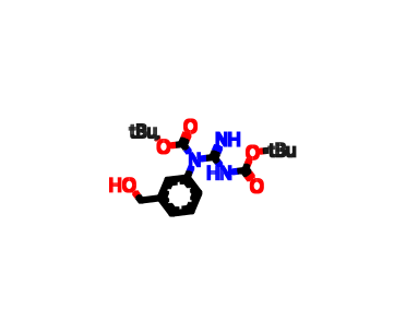 CC(C)(C)OC(=O)NC(=N)N(C(=O)OC(C)(C)C)c1cccc(CO)c1